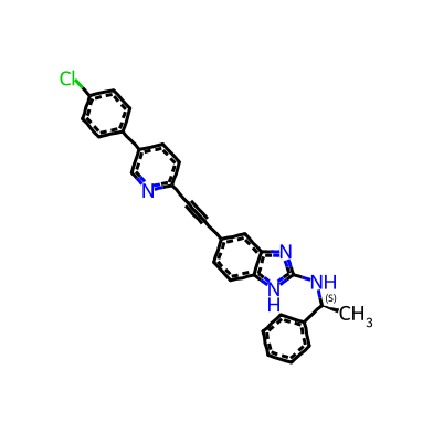 C[C@H](Nc1nc2cc(C#Cc3ccc(-c4ccc(Cl)cc4)cn3)ccc2[nH]1)c1ccccc1